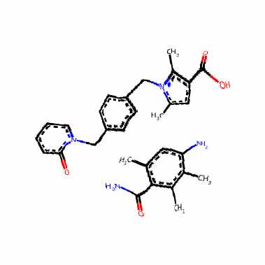 Cc1cc(C(=O)O)c(C)n1Cc1ccc(Cn2ccccc2=O)cc1.Cc1cc(N)c(C)c(C)c1C(N)=O